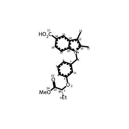 CC[C@@H](Oc1cccc(Cn2c(C)c(C)c3cc(C(=O)O)ccc32)c1)C(=O)OC